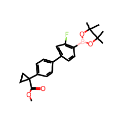 COC(=O)C1(c2ccc(-c3ccc(B4OC(C)(C)C(C)(C)O4)c(F)c3)cc2)CC1